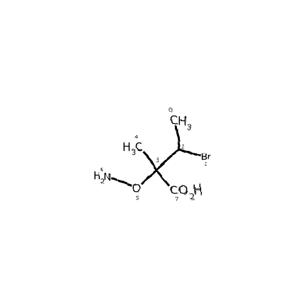 CC(Br)C(C)(ON)C(=O)O